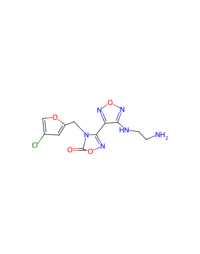 NCCNc1nonc1-c1noc(=O)n1Cc1cc(Cl)co1